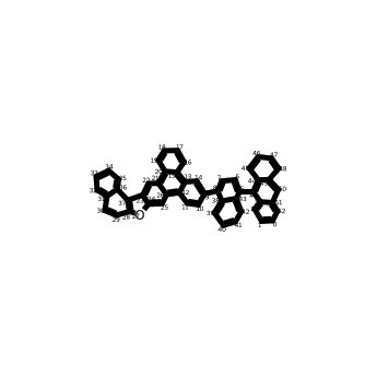 c1ccc2c(-c3ccc(-c4ccc5c(c4)c4ccccc4c4cc6c(cc54)oc4ccc5ccccc5c46)c4ccccc34)c3ccccc3cc2c1